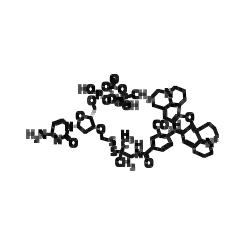 CC(C)(CNC(=O)c1ccc(C2=c3cc4c5c(c3Oc3c2cc2c6c3CCCN6CCC2)CCC[N+]=5CCC4)c(C(=O)O)c1)SSCO[C@@H]1C[C@H](n2ccc(N)nc2=O)O[C@@H]1COP(=O)(O)OP(=O)(O)OP(C)(=O)O